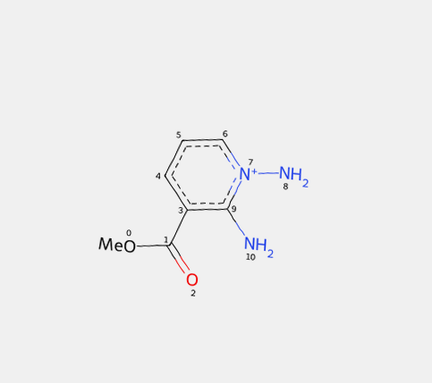 COC(=O)c1ccc[n+](N)c1N